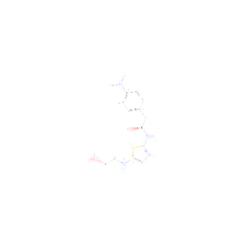 CN(C)c1ccc(CC(=O)Nc2ncc(NCCO)s2)cc1